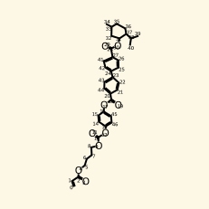 C=CC(=O)OCCCCOC(=O)Oc1ccc(OC(=O)c2ccc(-c3ccc(C(=O)OC4CC(C)CCC4C(C)C)cc3)cc2)cc1